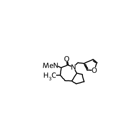 CNC1C(=O)N(Cc2ccoc2)C2CCCC2CC1C